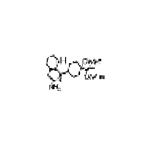 COC(=O)C1(OC)CCC(c2nc(N)cc3c2NCCC3)CC1